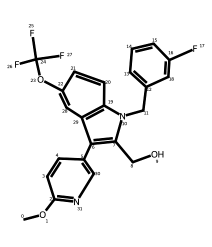 COc1ccc(-c2c(CO)n(Cc3cccc(F)c3)c3ccc(OC(F)(F)F)cc23)cn1